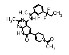 CCC(F)(F)c1cccc([C@@H](C)Nc2nc(C)nc3[nH]c(=O)c(C4=CCN(C(C)=O)CC4)cc23)c1F